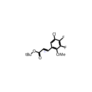 COc1c(/C=C/C(=O)OC(C)(C)C)cc(Cl)c(F)c1F